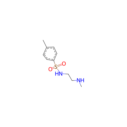 CNCCNS(=O)(=O)c1ccc(C)cc1